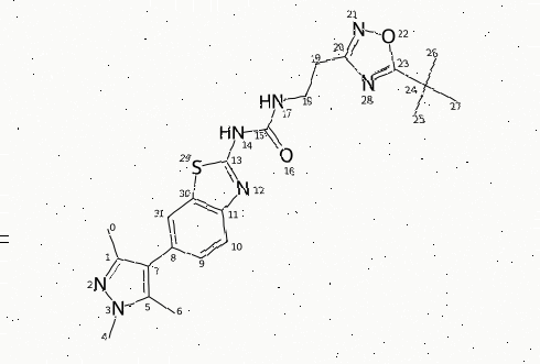 Cc1nn(C)c(C)c1-c1ccc2nc(NC(=O)NCCc3noc(C(C)(C)C)n3)sc2c1